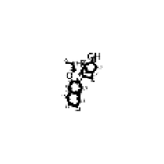 CCC(=O)[C@H]1[C@H](c2ccc3ccccc3c2)CC2CC(O)[C@@H]1C2